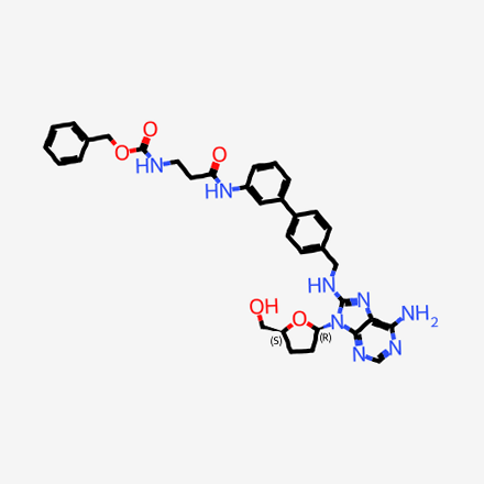 Nc1ncnc2c1nc(NCc1ccc(-c3cccc(NC(=O)CCNC(=O)OCc4ccccc4)c3)cc1)n2[C@H]1CC[C@@H](CO)O1